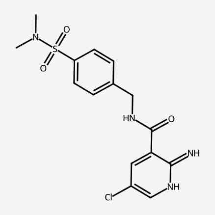 CN(C)S(=O)(=O)c1ccc(CNC(=O)c2cc(Cl)c[nH]c2=N)cc1